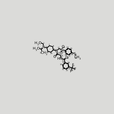 CCN(C(C)C)C1CCC(N(CS(=O)(=O)c2ccc(SC)cc2)C(=O)CNC(=O)c2cccc(C(F)(F)F)c2)CC1